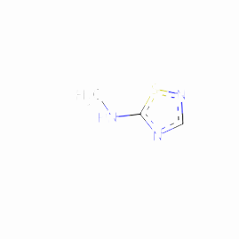 [CH2]Nc1ncns1